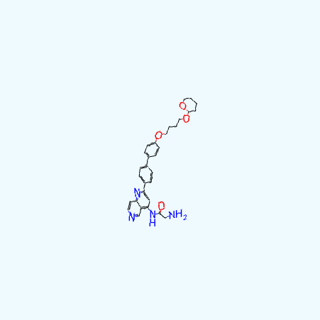 NCC(=O)Nc1cc(-c2ccc(-c3ccc(OCCCCOC4CCCCO4)cc3)cc2)nc2ccncc12